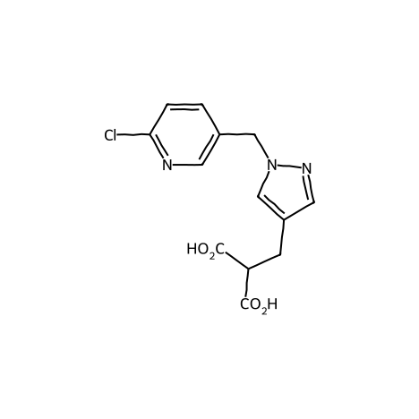 O=C(O)C(Cc1cnn(Cc2ccc(Cl)nc2)c1)C(=O)O